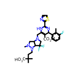 CCOC(=O)C1=C(CN2CC(F)(F)C3C2CN(C)N3CCC(C)(C)C(=O)O)NC(c2nccs2)=NC1c1cccc(F)c1C